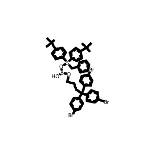 CC(C)(C)c1ccc(S(Cc2ccccc2)(OB(O)OCCCC(c2ccc(Br)cc2)(c2ccc(Br)cc2)c2ccc(Br)cc2)c2ccc(C(C)(C)C)cc2)cc1